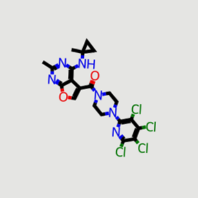 Cc1nc(NC2(C)CC2)c2c(C(=O)N3CCN(c4nc(Cl)c(Cl)c(Cl)c4Cl)CC3)coc2n1